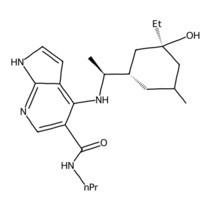 CCCNC(=O)c1cnc2[nH]ccc2c1N[C@@H](C)[C@H]1CC(C)C[C@@](O)(CC)C1